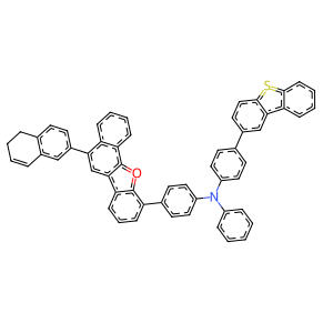 C1=Cc2cc(-c3cc4c5cccc(-c6ccc(N(c7ccccc7)c7ccc(-c8ccc9sc%10ccccc%10c9c8)cc7)cc6)c5oc4c4ccccc34)ccc2CC1